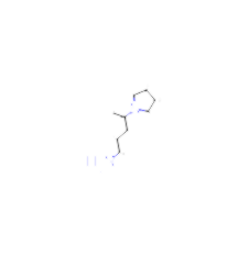 [CH2]C(CCCN)N1CCCC1